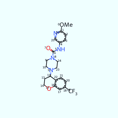 COc1ccc(NC(=O)N2CCN(C3CCOc4cc(C(F)(F)F)ccc43)CC2)cn1